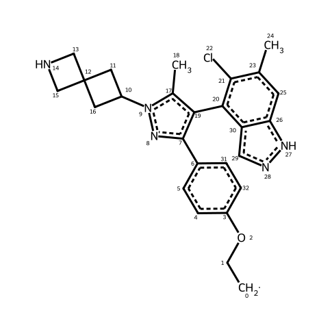 [CH2]COc1ccc(-c2nn(C3CC4(CNC4)C3)c(C)c2-c2c(Cl)c(C)cc3[nH]ncc23)cc1